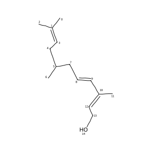 CC(C)=CCC(C)CC=CC(C)=CCO